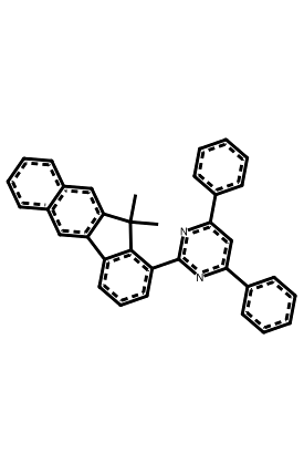 CC1(C)c2cc3ccccc3cc2-c2cccc(-c3nc(-c4ccccc4)cc(-c4ccccc4)n3)c21